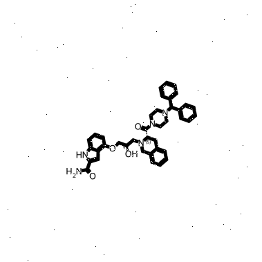 NC(=O)c1cc2c(OC[C@H](O)CN3Cc4ccccc4C[C@H]3C(=O)N3CCN(C(c4ccccc4)c4ccccc4)CC3)cccc2[nH]1